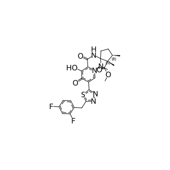 COC(=O)[C@@]1(C)[C@H](C)CCC12NC(=O)c1c(O)c(=O)c(-c3nnc(Cc4ccc(F)cc4F)s3)cn1N2C